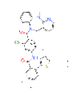 O=C(Nc1ccc(C(=O)N2Cc3cccnc3Nc3ccccc32)c(Cl)c1)c1ccccc1-c1cccs1